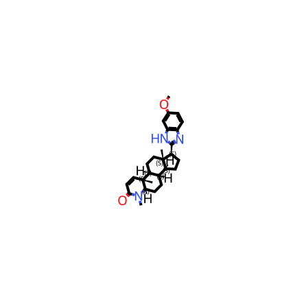 COc1ccc2nc([C@H]3CC[C@H]4[C@@H]5CC[C@H]6N(C)C(=O)C=C[C@]6(C)[C@H]5CC[C@]34C)[nH]c2c1